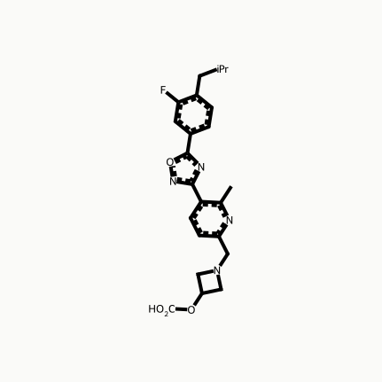 Cc1nc(CN2CC(OC(=O)O)C2)ccc1-c1noc(-c2ccc(CC(C)C)c(F)c2)n1